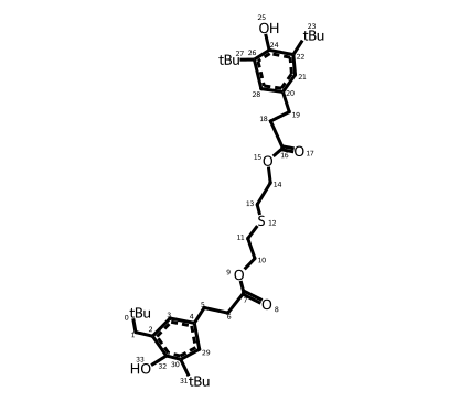 CC(C)(C)Cc1cc(CCC(=O)OCCSCCOC(=O)CCc2cc(C(C)(C)C)c(O)c(C(C)(C)C)c2)cc(C(C)(C)C)c1O